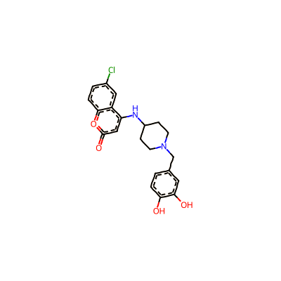 O=c1cc(NC2CCN(Cc3ccc(O)c(O)c3)CC2)c2cc(Cl)ccc2o1